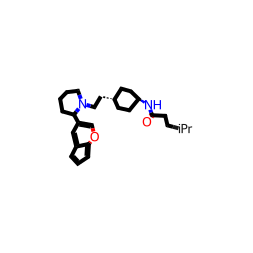 CC(C)CCC(=O)N[C@H]1CC[C@H](CCN2CCCCC2c2coc3cccc-3c2)CC1